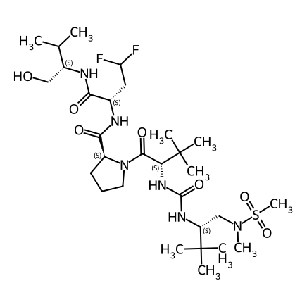 CC(C)[C@@H](CO)NC(=O)[C@H](CC(F)F)NC(=O)[C@@H]1CCCN1C(=O)[C@@H](NC(=O)N[C@H](CN(C)S(C)(=O)=O)C(C)(C)C)C(C)(C)C